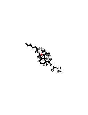 CCCCCC(=O)Nc1nc(C)c(C2(OC)C(C(C)(C)C)=CC=CC2C(=O)NOC(=O)NCC)s1